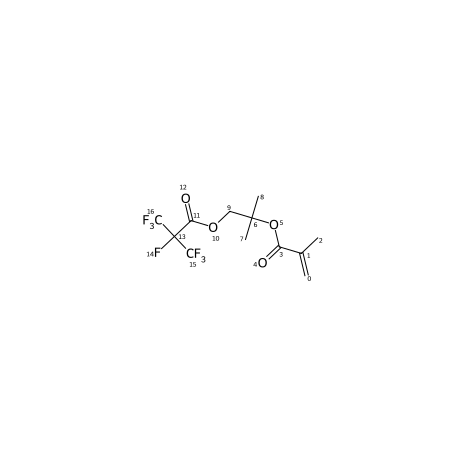 C=C(C)C(=O)OC(C)(C)COC(=O)C(F)(C(F)(F)F)C(F)(F)F